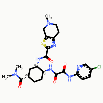 CN1CCc2nc(C(=O)N[C@H]3C[C@@H](C(=O)N(C)C)CC[C@@H]3NC(=O)C(=O)Nc3ccc(Cl)cn3)sc2C1